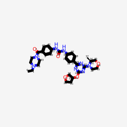 CCN1CCN(C(=O)c2ccc(NC(=O)Nc3ccc(-c4nc(OC5CCOC5)nc(N5CCOC[C@@H]5C)n4)cc3)cc2)CC1